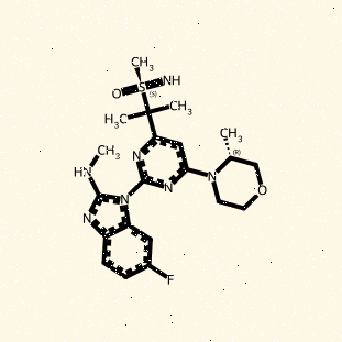 CNc1nc2ccc(F)cc2n1-c1nc(N2CCOC[C@H]2C)cc(C(C)(C)[S@@](C)(=N)=O)n1